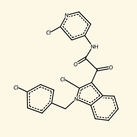 O=C(Nc1ccnc(Cl)c1)C(=O)c1c(Cl)n(Cc2ccc(Cl)cc2)c2ccccc12